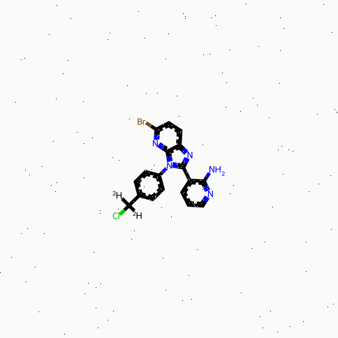 [2H]C([2H])(Cl)c1ccc(-n2c(-c3cccnc3N)nc3ccc(Br)nc32)cc1